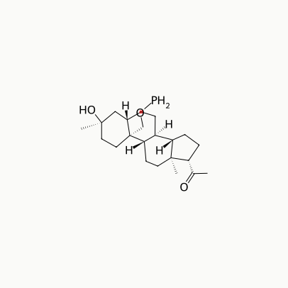 CC(=O)[C@H]1CC[C@H]2[C@@H]3CC[C@H]4C[C@](C)(O)CC[C@]4(COP)[C@H]3CC[C@]12C